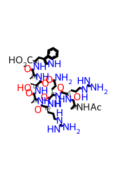 CC(=O)N[C@@H](C)C(=O)N[C@@H](CCCNC(=N)N)C(=O)N[C@@H](CCC(N)=O)C(=O)N[C@@H](CCCNC(=N)N)C(=O)N[C@@H](C)C(=O)N[C@@H](CO)C(=O)N[C@@H](C)C(=O)N[C@@H](Cc1c[nH]c2ccccc12)C(=O)O